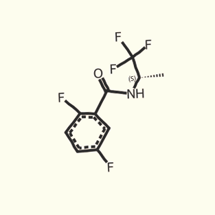 C[C@H](NC(=O)c1cc(F)ccc1F)C(F)(F)F